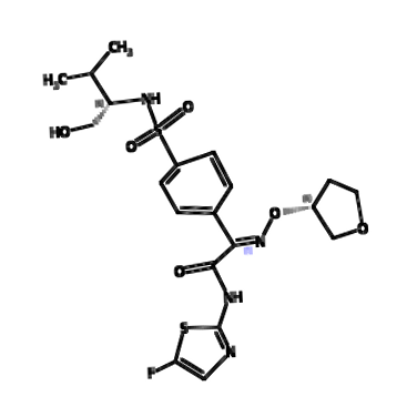 CC(C)[C@@H](CO)NS(=O)(=O)c1ccc(/C(=N\O[C@@H]2CCOC2)C(=O)Nc2ncc(F)s2)cc1